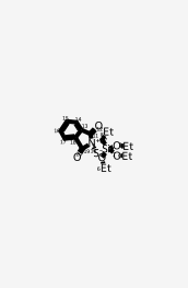 CCO[Si](OCC)(OCC)C(CC)[N+]1([S-])C(=O)c2ccccc2C1=O